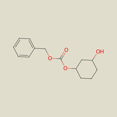 O=C(OCc1ccccc1)OC1CCCC(O)C1